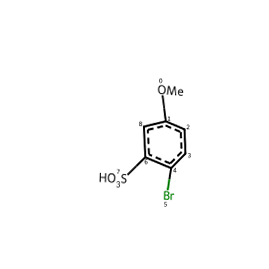 COc1ccc(Br)c(S(=O)(=O)O)c1